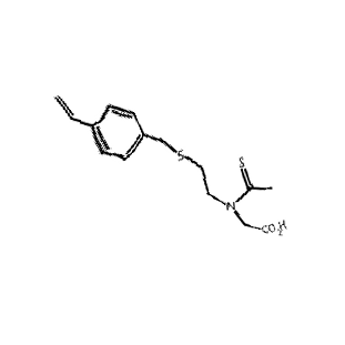 C=Cc1ccc(CSCCN(CC(=O)O)C(C)=S)cc1